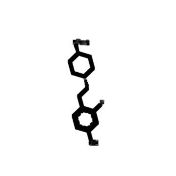 CCCCC[C@H]1CC[C@H](CCc2ccc(O)cc2F)CC1